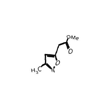 COC(=O)Cc1cc(C)no1